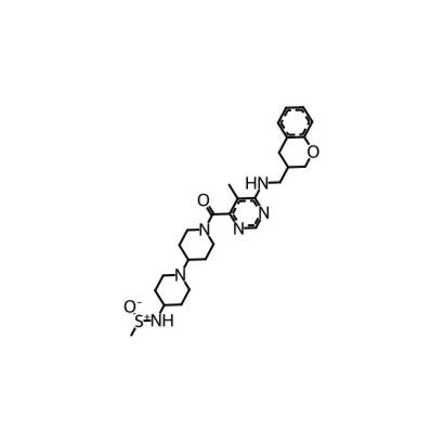 Cc1c(NCC2COc3ccccc3C2)ncnc1C(=O)N1CCC(N2CCC(N[S+](C)[O-])CC2)CC1